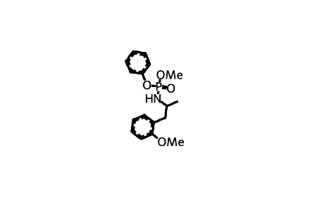 COc1ccccc1CC(C)NP(=O)(OC)Oc1ccccc1